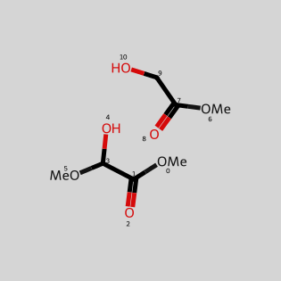 COC(=O)C(O)OC.COC(=O)CO